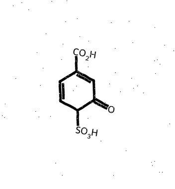 O=C(O)C1=CC(=O)C(S(=O)(=O)O)C=C1